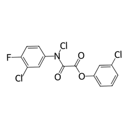 O=C(Oc1cccc(Cl)c1)C(=O)N(Cl)c1ccc(F)c(Cl)c1